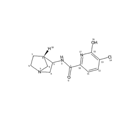 O=C(NC1CN2CC[C@H]1C2)c1ccc(Cl)c(O)n1